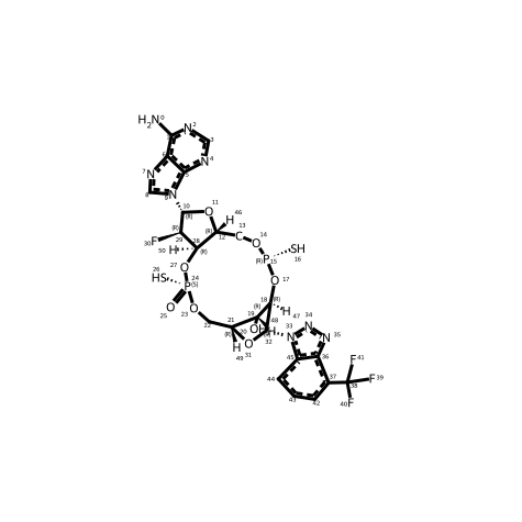 Nc1ncnc2c1ncn2[C@@H]1O[C@@H]2CO[P@](S)O[C@@H]3[C@H](O)[C@@H](CO[P@](=O)(S)O[C@H]2[C@H]1F)O[C@H]3n1nnc2c(C(F)(F)F)cccc21